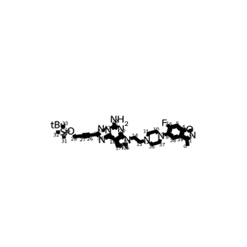 Cc1noc2cc(F)c(N3CCN(CCn4ncc5c4nc(N)n4nc(C#CCO[Si](C)(C)C(C)(C)C)nc54)CC3)cc12